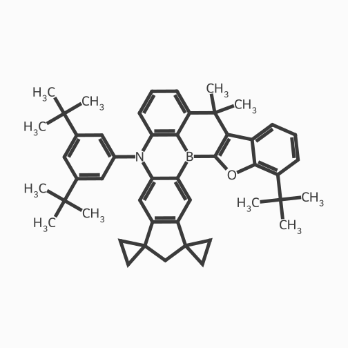 CC(C)(C)c1cc(N2c3cc4c(cc3B3c5oc6c(C(C)(C)C)cccc6c5C(C)(C)c5cccc2c53)C2(CC2)CC42CC2)cc(C(C)(C)C)c1